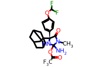 CN1C(=O)[C@@](c2ccc(OC(F)F)cc2)(C23CC4CC(CC(C4)C2)C3)NC1(N)OC(=O)C(F)(F)F